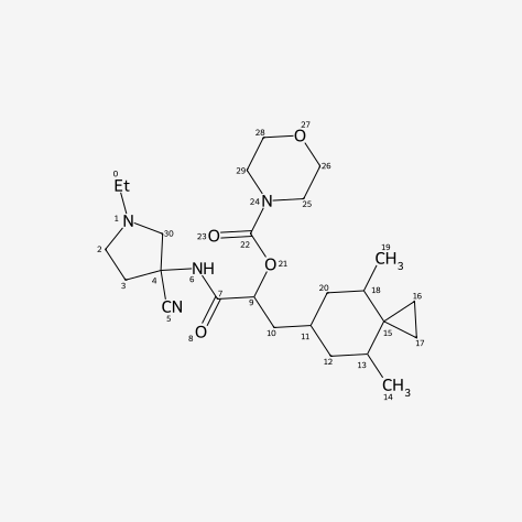 CCN1CCC(C#N)(NC(=O)C(CC2CC(C)C3(CC3)C(C)C2)OC(=O)N2CCOCC2)C1